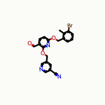 Cc1c(Br)cccc1COc1ccc(C=O)c(OCc2cncc(C#N)c2)n1